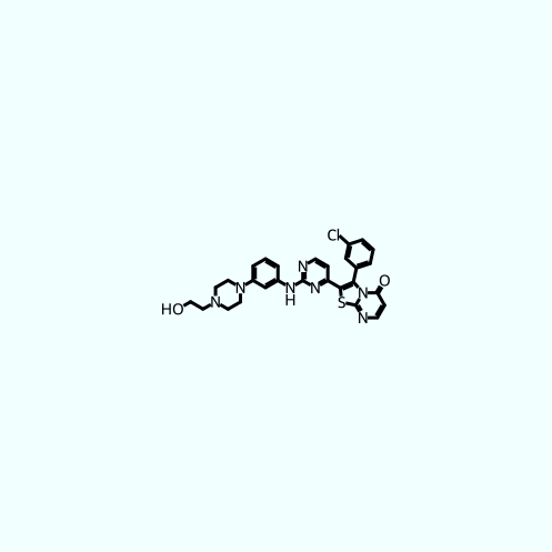 O=c1ccnc2sc(-c3ccnc(Nc4cccc(N5CCN(CCO)CC5)c4)n3)c(-c3cccc(Cl)c3)n12